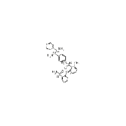 Cc1ccccc1S(N)(=O)=O.Cc1ccccc1S(N)(=O)=O.N[C@@H](c1ccccc1)[C@@H](N)c1ccccc1